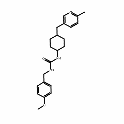 COc1ccc(CNC(=O)NC2CCC(Cc3ccc(C)nc3)CC2)cc1